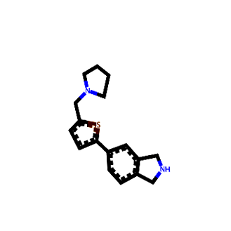 c1cc2c(cc1-c1ccc(CN3CCCC3)s1)CNC2